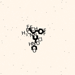 CC(C)(c1nc2cc(C(=O)NC3CCOCC3)c(Cl)cn2c1CC1CCC(F)(F)CC1)C(F)(F)F